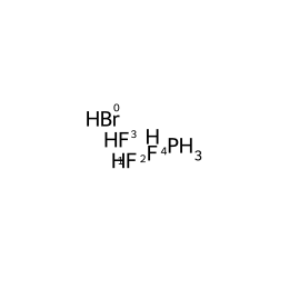 Br.F.F.F.P